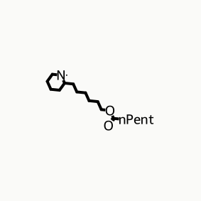 CCCCCC(=O)OCCCCCCC1CCCC[N]1